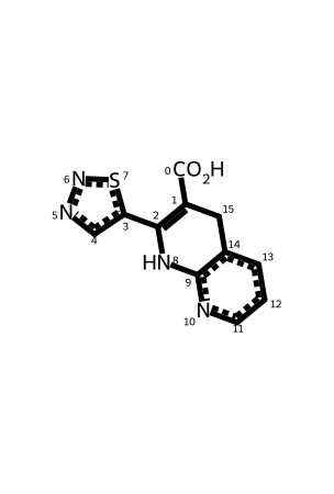 O=C(O)C1=C(c2cnns2)Nc2ncccc2C1